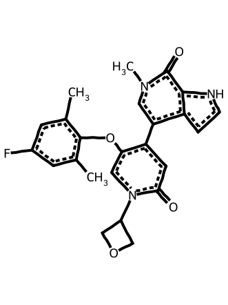 Cc1cc(F)cc(C)c1Oc1cn(C2COC2)c(=O)cc1-c1cn(C)c(=O)c2[nH]ccc12